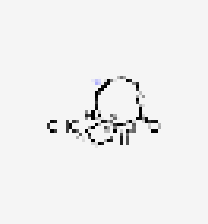 O=C[C@H]1CC[C@@H]2OC(=O)CCC/C=C\C[C@@H]21